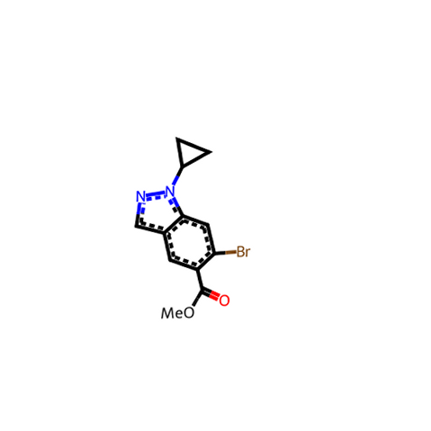 COC(=O)c1cc2cnn(C3CC3)c2cc1Br